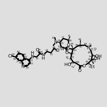 CC[C@H]1OC(=O)[C@H](C)[C@@H](O)[C@H](C)[C@@H](O[C@@H]2O[C@H](C)C[C@H](N(C)C)[C@H]2OCCCNC(=O)CNc2ccnc3cc(Cl)ccc23)[C@](C)(O)C[C@@H](C)CN(C)[C@H](C)[C@@H](O)[C@]1(C)O